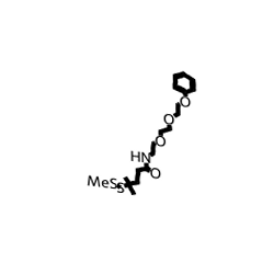 CSSC(C)(C)CCC(=O)NCCOCCOCCOc1ccccc1